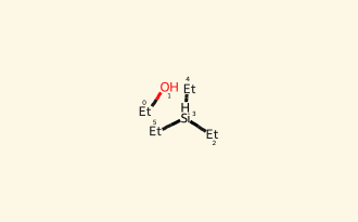 CCO.CC[SiH](CC)CC